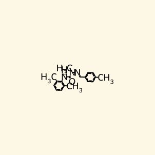 Cc1ccc(/C=N/N(C)C(=O)Nc2c(C)cccc2C)cc1